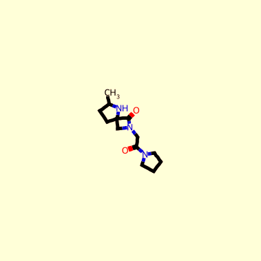 CC1CCC2(CN(CC(=O)N3CCCC3)C2=O)N1